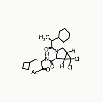 CC(=O)C(=O)[C@H](CC1CCC1)NC(=O)[C@@H]1[C@@H]2[C@H](CN1C(=O)[C@@H](C)C1CCCCC1)C2(Cl)Cl